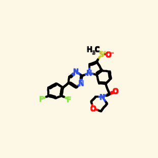 C[S+]([O-])c1cn(-c2ncc(-c3ccc(F)cc3F)cn2)c2cc(C(=O)N3CCOCC3)ccc12